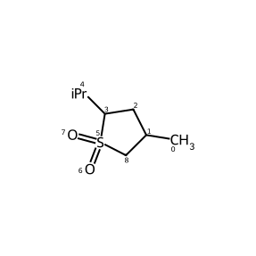 CC1CC(C(C)C)S(=O)(=O)C1